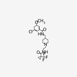 COC1C=C(C(=O)NCC2CCN(CCNC(=O)C3(C(F)(F)F)CC3)CC2)C=C(Cl)C1